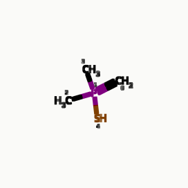 C=P(C)(C)S